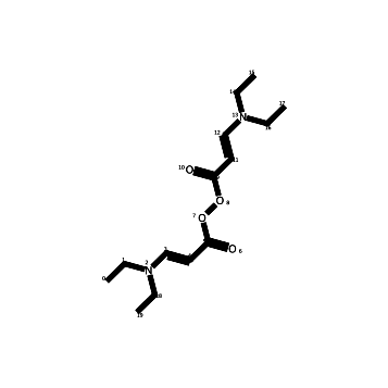 CCN(/C=C/C(=O)OOC(=O)/C=C/N(CC)CC)CC